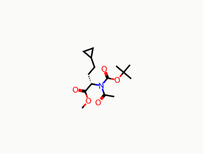 COC(=O)[C@H](CCC1CC1)N(C(C)=O)C(=O)OC(C)(C)C